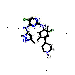 CCN1CCC(C2=CC(C)(F)C(Nc3ncc(Cl)c(Nc4cc(C)[nH]n4)n3)C=C2C)CC1